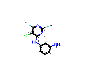 Nc1cccc(Nc2nc(F)nc(F)c2Cl)c1